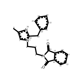 Cc1cn(CCCN2C(=O)c3ccccc3C2=O)c(Cc2ccccc2)n1